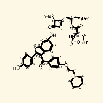 CCCCCCCCCCC[C@@H](C[C@@H]1OC(=O)[C@H]1CCCCCC)OC(=O)[C@H](CC(C)C)NC=O.O=C(c1ccc(OCCN2CCCCC2)cc1)c1c(-c2ccc(O)cc2)sc2cc(O)ccc12